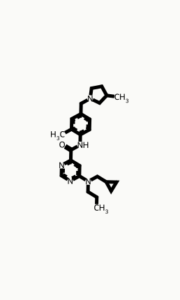 CCCN(CC1CC1)c1cc(C(=O)Nc2ccc(CN3CCC(C)C3)cc2C)ncn1